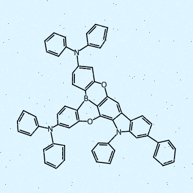 c1ccc(-c2ccc3c4cc5c6c(c4n(-c4ccccc4)c3c2)Oc2cc(N(c3ccccc3)c3ccccc3)ccc2B6c2ccc(N(c3ccccc3)c3ccccc3)cc2O5)cc1